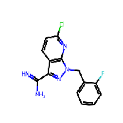 N=C(N)c1nn(Cc2ccccc2F)c2nc(Cl)ccc12